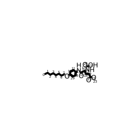 CCCCCCCCOc1ccc(NC(=O)[C@](C)(C=CC(=O)OC)NC(=O)O)cc1